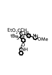 CCOC(=O)C(C)(C)Cc1c(SC(C)(C)C)c2cc(OC[C@@H]3Cc4ccccc4N3)ccc2n1Cc1ccc(-c2ccc(OC)nn2)cc1